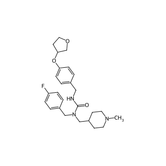 CN1CCC(CN(Cc2ccc(F)cc2)C(=O)NCc2ccc(OC3CCOC3)cc2)CC1